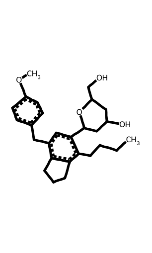 CCCCc1c(C2CC(O)CC(CO)O2)cc(Cc2ccc(OC)cc2)c2c1CCC2